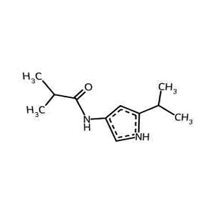 CC(C)C(=O)Nc1c[nH]c(C(C)C)c1